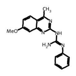 COc1ccc2c(C)nc(N/C(N)=N/c3ccccc3)nc2c1